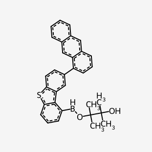 CC(C)(O)C(C)(C)OBc1cccc2sc3ccc(-c4cccc5cc6ccccc6cc45)cc3c12